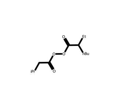 CCCCC(CC)C(=O)OOC(=O)CC(C)C